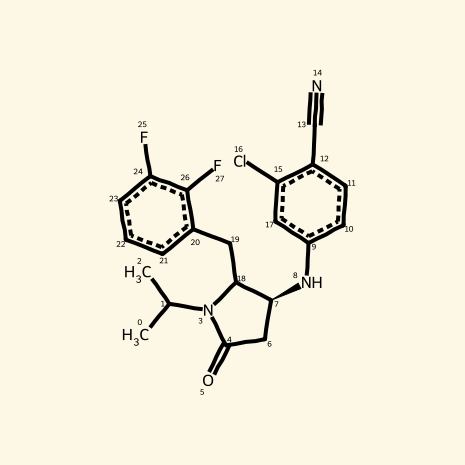 CC(C)N1C(=O)C[C@H](Nc2ccc(C#N)c(Cl)c2)C1Cc1cccc(F)c1F